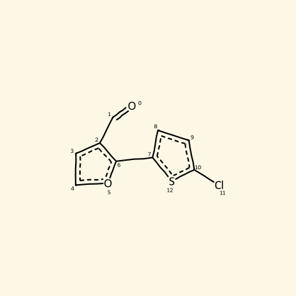 O=Cc1ccoc1-c1ccc(Cl)s1